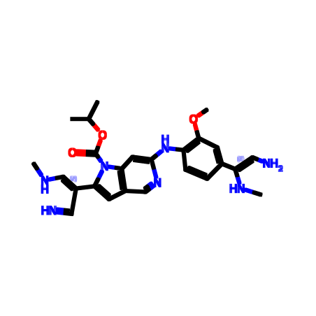 CN/C=C(\C=N)c1cc2cnc(Nc3ccc(/C(=C/N)NC)cc3OC)cc2n1C(=O)OC(C)C